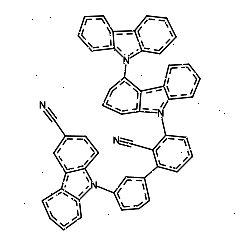 N#Cc1ccc2c(c1)c1ccccc1n2-c1cccc(-c2cccc(-n3c4ccccc4c4c(-n5c6ccccc6c6ccccc65)cccc43)c2C#N)c1